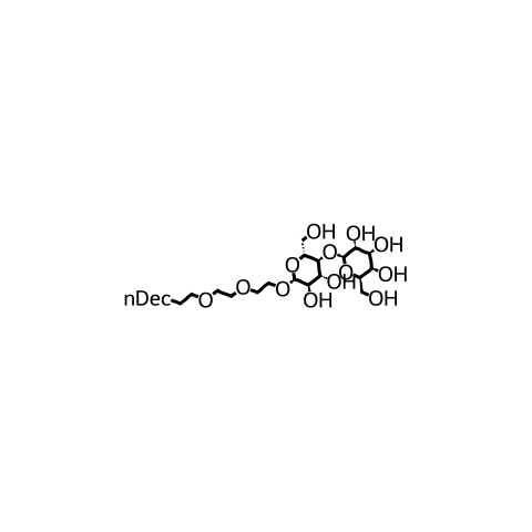 CCCCCCCCCCCCOCCOCCO[C@H]1O[C@H](CO)[C@@H](O[C@@H]2O[C@H](CO)[C@H](O)[C@H](O)[C@H]2O)[C@H](O)[C@H]1O